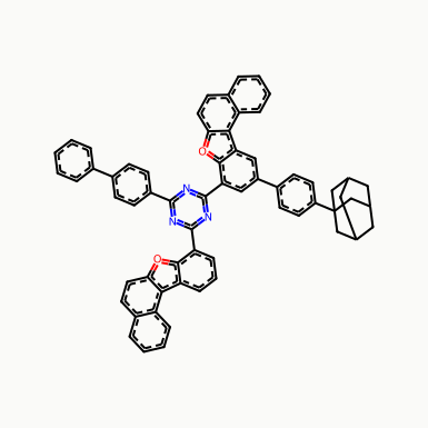 c1ccc(-c2ccc(-c3nc(-c4cccc5c4oc4ccc6ccccc6c45)nc(-c4cc(-c5ccc(C67CC8CC(CC(C8)C6)C7)cc5)cc5c4oc4ccc6ccccc6c45)n3)cc2)cc1